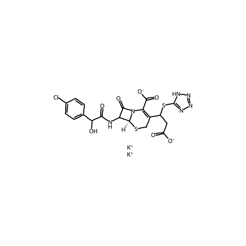 O=C([O-])CC(Sc1nnn[nH]1)C1=C(C(=O)[O-])N2C(=O)C(NC(=O)C(O)c3ccc(Cl)cc3)[C@@H]2SC1.[K+].[K+]